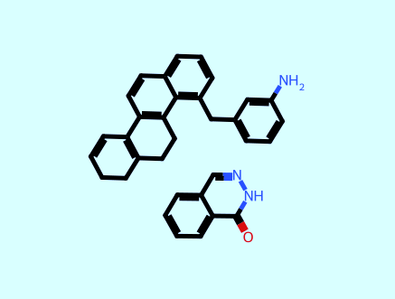 Nc1cccc(Cc2cccc3ccc4c(c23)CCC2=C4C=CCC2)c1.O=c1[nH]ncc2ccccc12